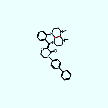 CN1CCN(C(=C2OCCN(c3ccc(-c4ccccc4)cc3)C2=O)c2ccccc2N2CCN(C)CC2)CC1